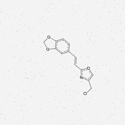 ClCc1coc(C=Cc2ccc3c(c2)OCO3)n1